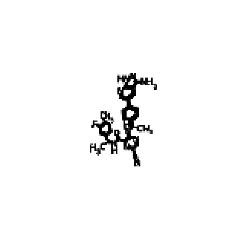 Cc1ccc([C@H](C)NC(=O)c2nc(C#N)cnc2N[C@H](C)c2ccc(-c3cnc4[nH]nc(N)c4c3)cc2)cc1F